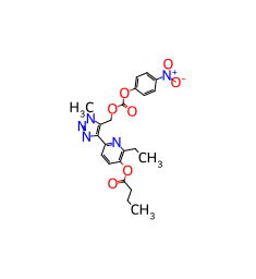 CCCC(=O)Oc1ccc(-c2nnn(C)c2COC(=O)Oc2ccc([N+](=O)[O-])cc2)nc1CC